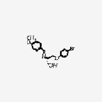 COc1ccc(C=N[C@@H](CO)COc2ccc(Br)cc2)cc1